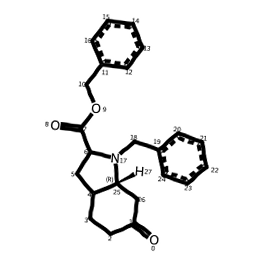 O=C1CCC2CC(C(=O)OCc3ccccc3)N(Cc3ccccc3)[C@@H]2C1